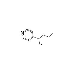 [CH2]C(CCC)c1ccncc1